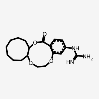 N=C(N)Nc1ccc2c(c1)OCCOC1CCCCCCCC1OC2=O